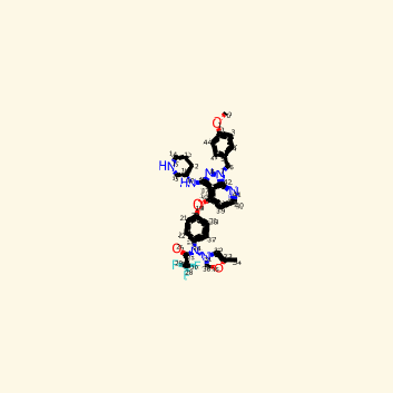 COc1ccc(Cn2nc(N[C@@H]3CCCNC3)c3c(Oc4ccc(N(C(=O)C(F)(F)F)N5C=C(C)OC5)cc4)ccnc32)cc1